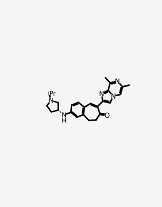 Cc1cn2cc(C3=Cc4ccc(N[C@@H]5CCN(C(C)C)C5)cc4CCC3=O)nc2c(C)n1